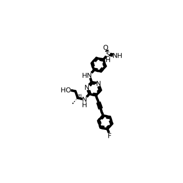 C[C@H](CO)Nc1nc(Nc2ccc([SH](=N)=O)cc2)ncc1C#Cc1ccc(F)cc1